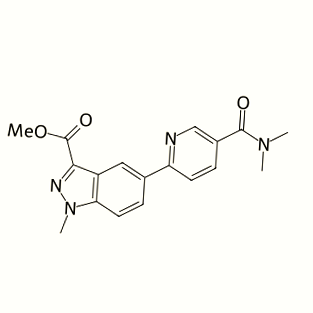 COC(=O)c1nn(C)c2ccc(-c3ccc(C(=O)N(C)C)cn3)cc12